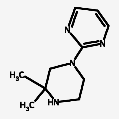 CC1(C)CN(c2ncccn2)CCN1